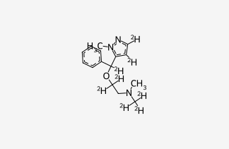 [2H]c1nn(C)c(C([2H])(OC([2H])([2H])CN(C)C([2H])([2H])[2H])c2ccccc2)c1[2H]